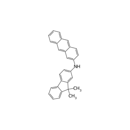 CC1(C)c2ccccc2-c2ccc(Nc3ccc4cc5ccccc5cc4c3)cc21